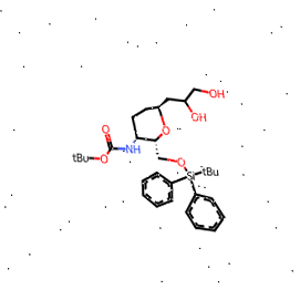 CC(C)(C)OC(=O)N[C@@H]1CC[C@@H](CC(O)CO)O[C@@H]1CO[Si](c1ccccc1)(c1ccccc1)C(C)(C)C